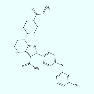 C=CC(=O)N1CCN([C@H]2CCNc3c2nn(-c2ccc(Oc4cccc(C)c4)cc2)c3C(N)=O)CC1